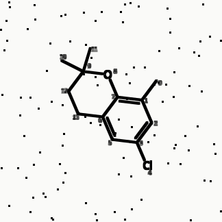 Cc1cc(Cl)cc2c1OC(C)(C)CC2